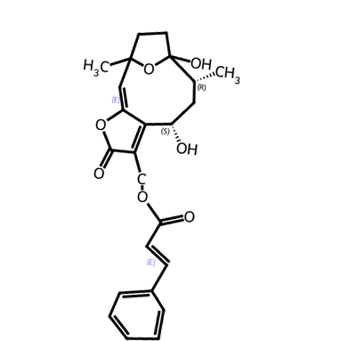 C[C@@H]1C[C@H](O)C2=C(COC(=O)/C=C/c3ccccc3)C(=O)O/C2=C/C2(C)CCC1(O)O2